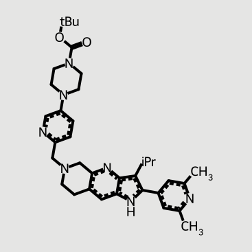 Cc1cc(-c2[nH]c3cc4c(nc3c2C(C)C)CN(Cc2ccc(N3CCN(C(=O)OC(C)(C)C)CC3)cn2)CC4)cc(C)n1